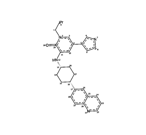 CC(C)Cn1cc(-c2cnsc2)cc(N[C@H]2CC[C@@H](c3ccc4ncccc4c3)CC2)c1=O